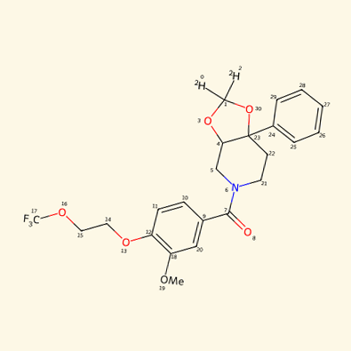 [2H]C1([2H])OC2CN(C(=O)c3ccc(OCCOC(F)(F)F)c(OC)c3)CCC2(c2ccccc2)O1